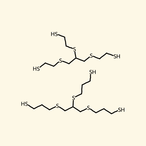 SCCCSCC(CSCCCS)SCCCS.SCCSCC(CSCCS)SCCS